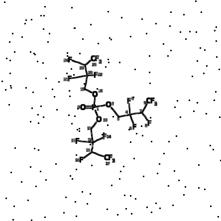 O=P(OCC(F)(F)C(F)C(F)(F)F)(OCC(F)(F)C(F)C(F)(F)F)OCC(F)(F)C(F)C(F)(F)F